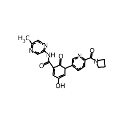 Cc1cnc(NC(=O)C2=CC(O)=CC(c3ccc(C(=O)N4CCC4)nc3)C2=O)cn1